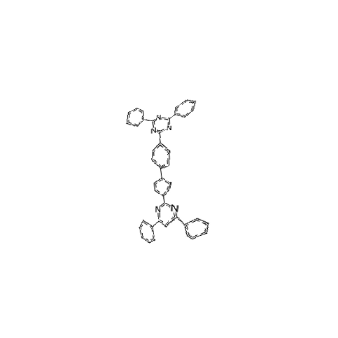 c1ccc(-c2cc(-c3ccccc3)nc(-c3ccc(-c4ccc(-c5nc(-c6ccccc6)nc(-c6ccccc6)n5)cc4)cc3)n2)cc1